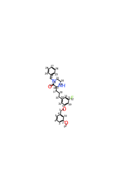 COc1cccc(COc2cc(F)cc(CCC[C@@H]3NCCN(Cc4ccccc4)C3=O)c2)c1